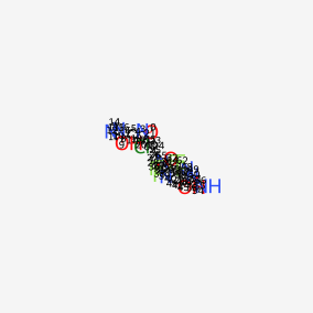 COc1nc2ccc(C(O)c3cnc(C)n3C)cc2c(Cl)c1C1CCC(C2CCCN(C(=O)c3c(C(F)(F)F)nc4ccc(C(O)(c5cncn5C)C5CCNCC5)cc4c3C(F)(F)F)C2)C1